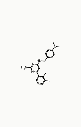 Cc1cccc(-c2cc(NCc3ccc(N(C)C)cc3)nc(N)n2)c1C